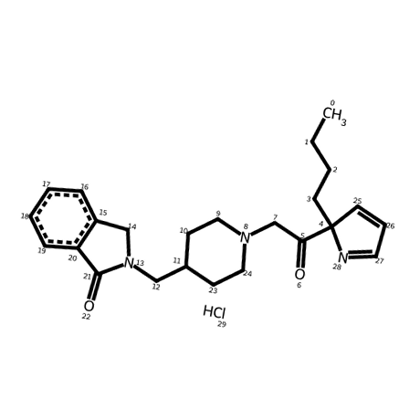 CCCCC1(C(=O)CN2CCC(CN3Cc4ccccc4C3=O)CC2)C=CC=N1.Cl